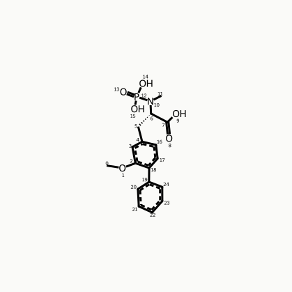 COc1cc(C[C@@H](C(=O)O)N(C)P(=O)(O)O)ccc1-c1ccccc1